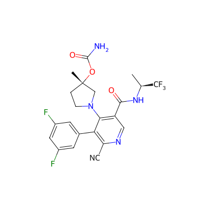 C[C@H](NC(=O)c1cnc(C#N)c(-c2cc(F)cc(F)c2)c1N1CC[C@](C)(OC(N)=O)C1)C(F)(F)F